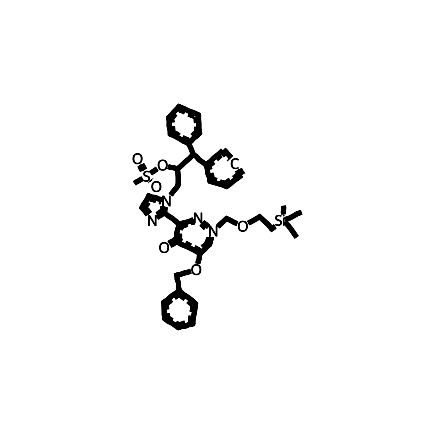 C[Si](C)(C)CCOCn1cc(OCc2ccccc2)c(=O)c(-c2nccn2CC(OS(C)(=O)=O)C(c2ccccc2)c2ccccc2)n1